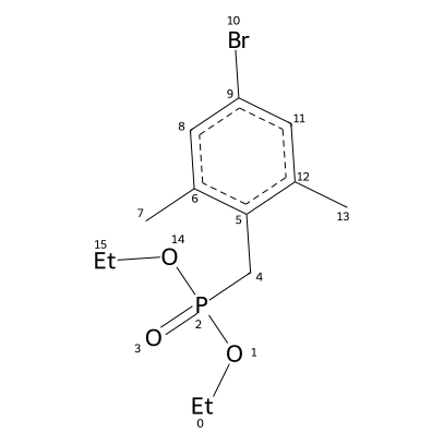 CCOP(=O)(Cc1c(C)cc(Br)cc1C)OCC